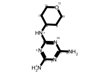 Nc1nc(N)nc(NC2CCOCC2)n1